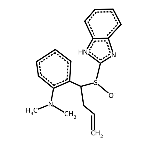 C=CCC(c1ccccc1N(C)C)[S+]([O-])c1nc2ccccc2[nH]1